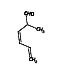 C=C/C=C\C(C)C=O